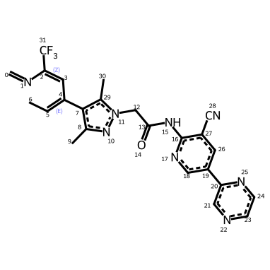 C=N/C(=C\C(=C/C)c1c(C)nn(CC(=O)Nc2ncc(-c3cnccn3)cc2C#N)c1C)C(F)(F)F